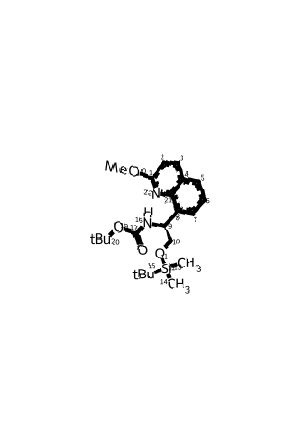 COc1ccc2cccc([C@@H](CO[Si](C)(C)C(C)(C)C)NC(=O)OC(C)(C)C)c2n1